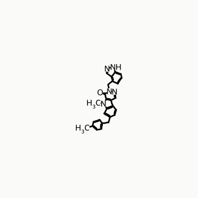 Cc1ccc(Cc2ccc3c4cnn(Cc5cccc6[nH]ncc56)c(=O)c4n(C)c3c2)cc1